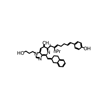 C=C1C=c2c(ncn2CCCO)=C(/C=C2\CCc3ccccc3C2)N=C1C/C(=C/CC/C=C/c1ccc(O)cc1)CCC